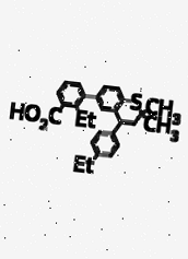 CCc1ccc(C2=CC(C)(C)Sc3ccc(-c4cccc(C(=O)O)c4CC)cc32)cc1